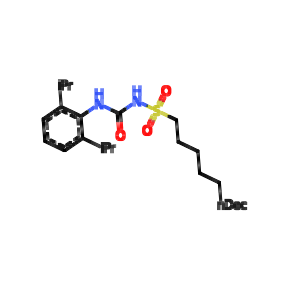 CCCCCCCCCCCCCCCS(=O)(=O)NC(=O)Nc1c(C(C)C)cccc1C(C)C